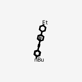 CCCCc1ccc(C#CC23CCC(C4CCC(CC)CC4)(CC2)CC3)cc1